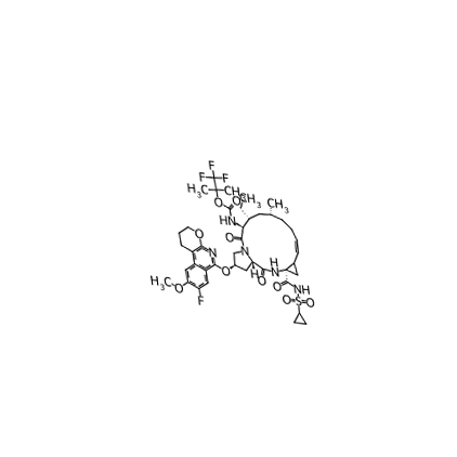 CC[C@@H]1C[C@H](C)CC/C=C\C2C[C@@]2(C(=O)NS(=O)(=O)C2CC2)NC(=O)[C@@H]2C[C@@H](Oc3nc4c(c5cc(OC)c(F)cc35)CCCO4)CN2C(=O)[C@H]1NC(=O)OC(C)(C)C(F)(F)F